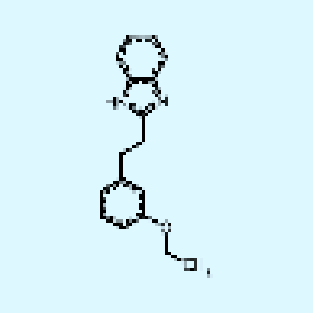 CCOc1cccc(CCc2nc3ccccc3[nH]2)c1